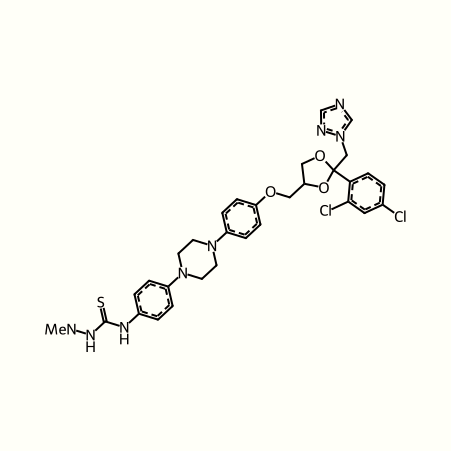 CNNC(=S)Nc1ccc(N2CCN(c3ccc(OCC4COC(Cn5cncn5)(c5ccc(Cl)cc5Cl)O4)cc3)CC2)cc1